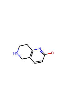 [O]c1ccc2c(n1)CCNC2